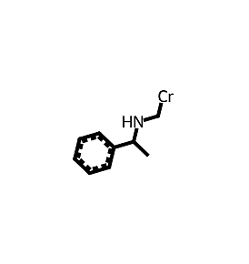 CC(N[CH2][Cr])c1ccccc1